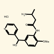 COc1ccc(C(O)c2cccnc2)cc1NC(=O)CC(C)N.Cl